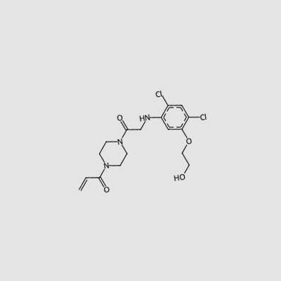 C=CC(=O)N1CCN(C(=O)CNc2cc(OCCO)c(Cl)cc2Cl)CC1